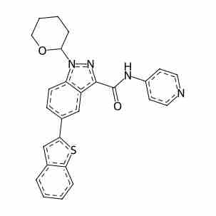 O=C(Nc1ccncc1)c1nn(C2CCCCO2)c2ccc(-c3cc4ccccc4s3)cc12